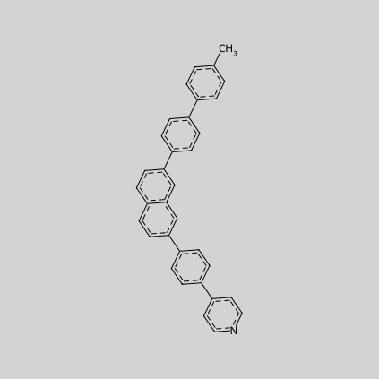 Cc1ccc(-c2ccc(-c3ccc4ccc(-c5ccc(-c6ccncc6)cc5)cc4c3)cc2)cc1